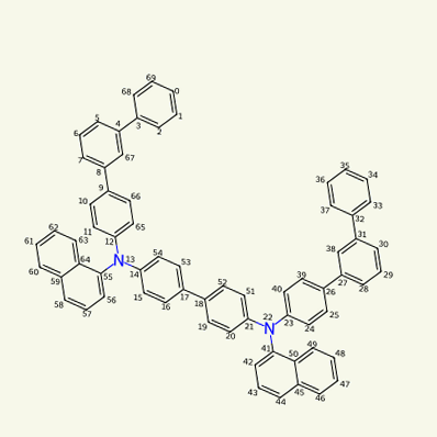 c1ccc(-c2cccc(-c3ccc(N(c4ccc(-c5ccc(N(c6ccc(-c7cccc(-c8ccccc8)c7)cc6)c6cccc7ccccc67)cc5)cc4)c4cccc5ccccc45)cc3)c2)cc1